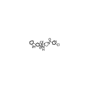 CC(C)c1ccccc1-c1ccc(S(=O)(=O)NC2CCN(C(=O)c3ccc(Cl)nc3)CC2)c(C(F)(F)F)c1